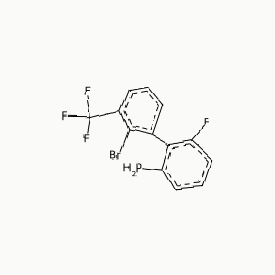 Fc1cccc(P)c1-c1cccc(C(F)(F)F)c1Br